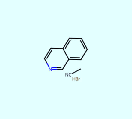 Br.CC#N.c1ccc2cnccc2c1